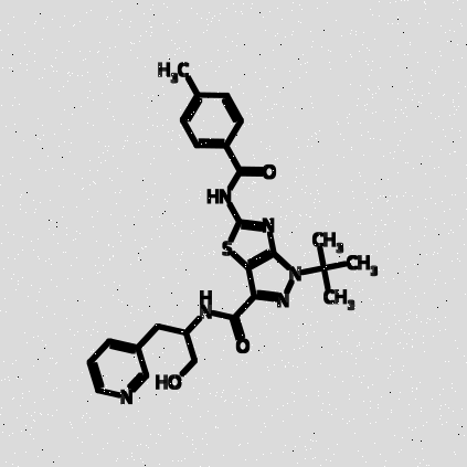 Cc1ccc(C(=O)Nc2nc3c(s2)c(C(=O)NC(CO)Cc2cccnc2)nn3C(C)(C)C)cc1